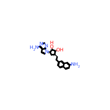 Nc1ccc2ccc(CC[C@H]3C[C@@H](n4ccc5c(N)ncnc54)[C@H](O)[C@@H]3O)cc2c1